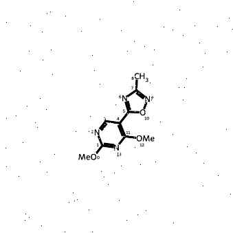 COc1ncc(-c2nc(C)no2)c(OC)n1